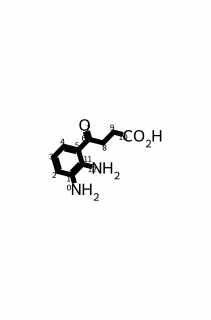 Nc1cccc(C(=O)CCC(=O)O)c1N